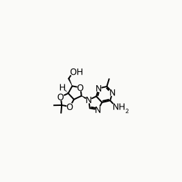 Cc1nc(N)c2ncn([C@@H]3O[C@H](CO)[C@@H]4OC(C)(C)OC43)c2n1